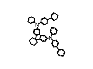 C1=CCCC(N(C2=CCC(C3=CCCC=C3)C=C2)c2ccc(C3(c4ccc(N(c5ccccc5)c5ccc(-c6ccccc6)cc5)cc4)CCCCC3)cc2)=C1